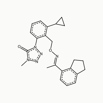 CC(=NOCc1c(C2CC2)cccc1-n1nnn(C)c1=O)c1cccc2c1CCC2